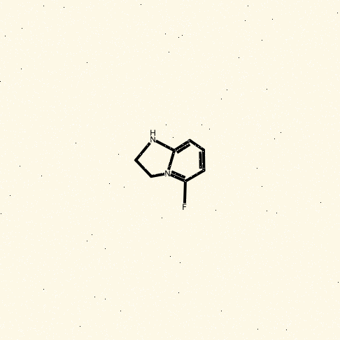 Fc1cccc2[n+]1CCN2